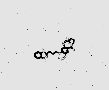 COc1cc2c(cc1OCCCC(=O)Nc1ccccc1F)N=C[C@@H]1CCCN1C2=O